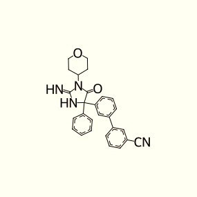 N#Cc1cccc(-c2cccc(C3(c4ccccc4)NC(=N)N(C4CCOCC4)C3=O)c2)c1